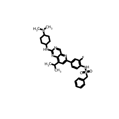 CC(C)c1cc(-c2ccc(NS(=O)(=O)Cc3ccccc3)c(F)c2)nc2cnc(NC3CCC(N(C)C)CC3)nc12